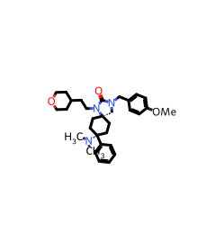 COc1ccc(CN2C[C@]3(CC[C@@](c4ccccc4)(N(C)C)CC3)N(CCC3CCOCC3)C2=O)cc1